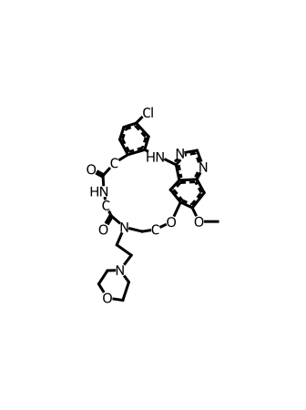 COc1cc2ncnc3c2cc1OCCN(CCN1CCOCC1)C(=O)CNC(=O)Cc1ccc(Cl)cc1N3